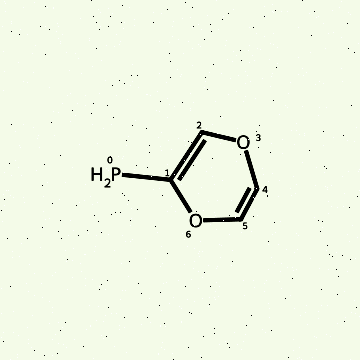 PC1=COC=CO1